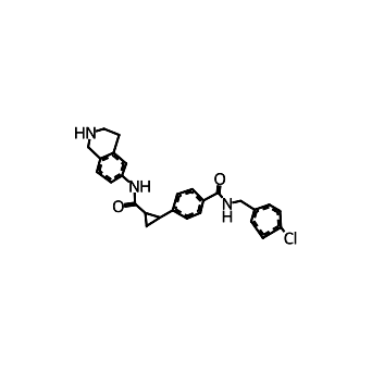 O=C(NCc1ccc(Cl)cc1)c1ccc(C2CC2C(=O)Nc2ccc3c(c2)CCNC3)cc1